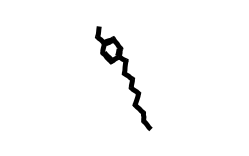 CCCCCCCCCc1ccc(CC)cc1